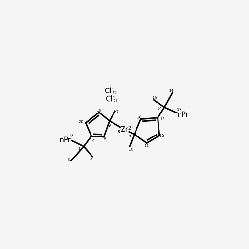 CCCC(C)(C)C1=C[C](C)([Zr+2][C]2(C)C=CC(C(C)(C)CCC)=C2)C=C1.[Cl-].[Cl-]